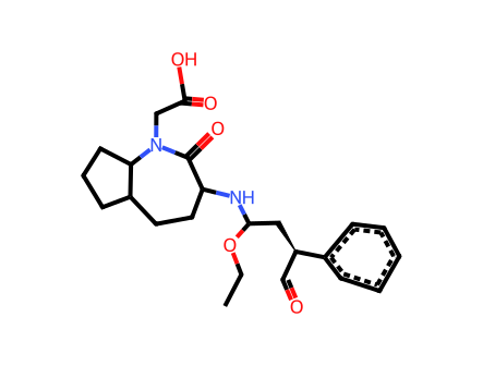 CCOC(C[C@H](C=O)c1ccccc1)NC1CCC2CCCC2N(CC(=O)O)C1=O